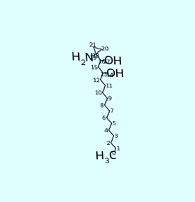 CCCCCCCCCCCCC[C@H](O)C[C@H](O)C1(N)CC1